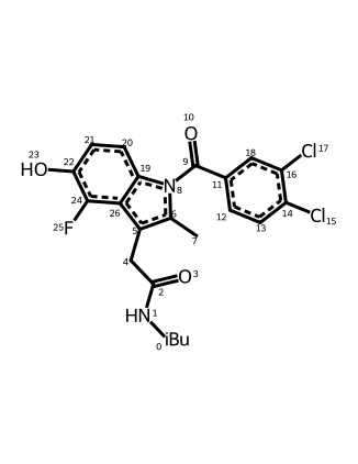 CCC(C)NC(=O)Cc1c(C)n(C(=O)c2ccc(Cl)c(Cl)c2)c2ccc(O)c(F)c12